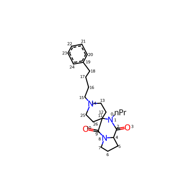 CCCN1C(=O)C2CCCN2C(=O)C12CCN(CCCCc1ccccc1)CC2